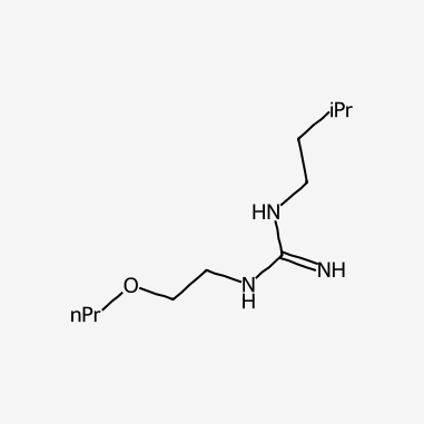 CCCOCCNC(=N)NCCC(C)C